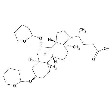 C[C@H](CCC(=O)O)[C@H]1CC[C@H]2[C@@H]3[C@@H](OC4CCCCO4)C[C@@H]4C[C@H](OC5CCCCO5)CC[C@]4(C)[C@H]3CC[C@]12C